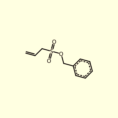 C=CCS(=O)(=O)OCc1ccccc1